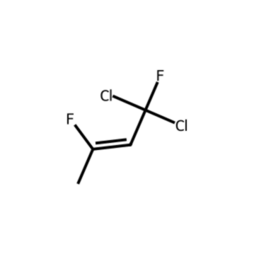 CC(F)=CC(F)(Cl)Cl